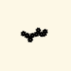 C1=C(n2c3ccccc3c3cc(-c4ccc5c(c4)c4ccccc4n5-c4ccc(-c5ccccc5)cc4)ccc32)CCc2ccc3ccccc3c21